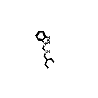 CCC(CC)CNCn1nnc2ccccc21